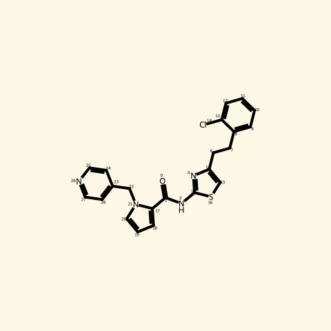 O=C(Nc1nc(CCc2ccccc2Cl)cs1)c1cccn1Cc1ccncc1